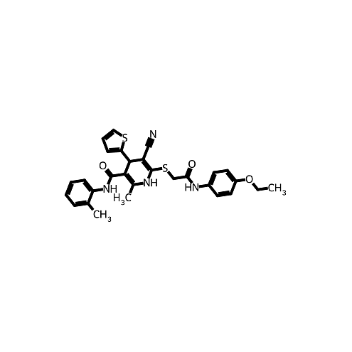 CCOc1ccc(NC(=O)CSC2=C(C#N)C(c3cccs3)C(C(=O)Nc3ccccc3C)=C(C)N2)cc1